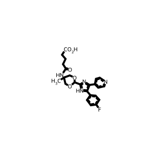 CC1(NC(=O)CCCC(=O)O)COC(c2nc(-c3ccncc3)c(-c3ccc(F)cc3)[nH]2)OC1